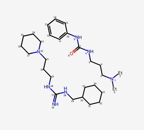 CCN(CC)CCCNC(=O)Nc1ccccc1.N=C(NCCCN1CCCCC1)NCC1CCCCC1